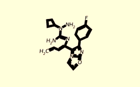 C=C/C=C(\N=C(/N)N(N)C1CCC1)c1c(C2C=CC(F)=CC2)nc2occn12